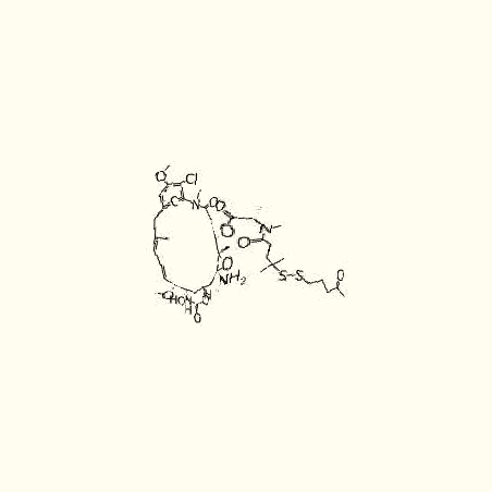 COc1cc2cc(c1Cl)N(C)C(=O)C[C@H](OC(=O)[C@H](C)N(C)C(=O)CCC(C)(C)SSCCCC(C)=O)[C@]1(C)O[C@@]1(N)[C@H](C)[C@@H]1C[C@@](O)(NC(=O)O1)[C@H](OC)/C=C/C=C(\C)C2